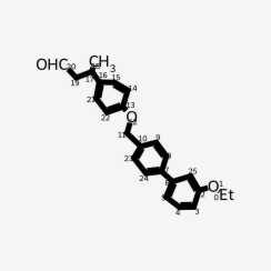 CCOc1cccc(-c2ccc(COc3ccc(C(C)CC=O)cc3)cc2)c1